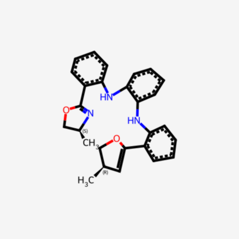 C[C@@H]1C=C(c2ccccc2Nc2ccccc2Nc2ccccc2C2=N[C@@H](C)CO2)OC1